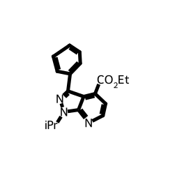 CCOC(=O)c1ccnc2c1c(-c1ccccc1)nn2C(C)C